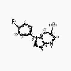 Fc1ccc(-n2ccc3ncc(Br)cc32)cc1